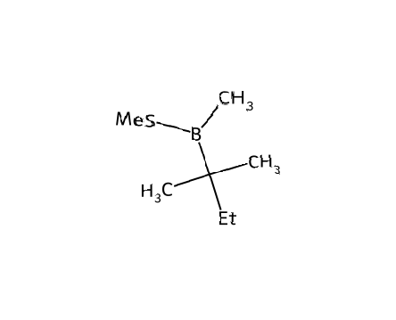 CCC(C)(C)B(C)SC